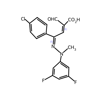 CN(/N=C(\C=C(/C=O)C(=O)O)c1ccc(Cl)cc1)c1cc(F)cc(F)c1